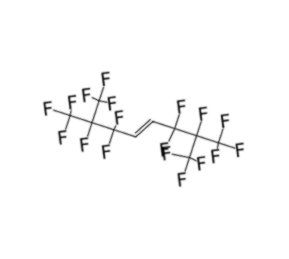 FC(F)(F)C(F)(C(F)(F)F)C(F)(F)C=CC(F)(F)C(F)(C(F)(F)F)C(F)(F)F